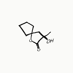 CC1(O)CC2(CCCC2)OC1=O